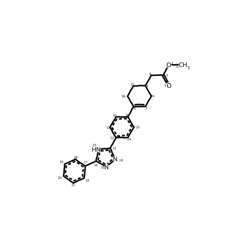 COC(=O)CC1CC=C(c2ccc(-c3nnc(-c4ccccc4)[nH]3)cc2)CC1